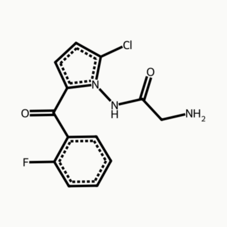 NCC(=O)Nn1c(Cl)ccc1C(=O)c1ccccc1F